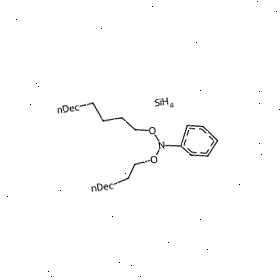 CCCCCCCCCCCCCCON(OCCCCCCCCCCCC)c1ccccc1.[SiH4]